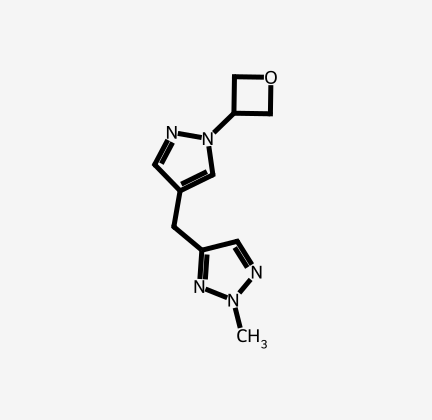 Cn1ncc(Cc2cnn(C3COC3)c2)n1